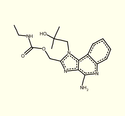 CCNC(=O)OCc1nc2c(N)nc3ccccc3c2n1CC(C)(C)O